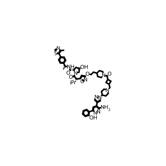 Cc1ncsc1-c1ccc([C@H](C)NC(=O)[C@@H]2C[C@@H](O)CN2C(=O)[C@H](c2cc(OCCC3CCN(C(=O)C4CC(CN5CCC(n6cc(-c7cc(-c8ccccc8O)nnc7N)cn6)CC5)C4)CC3)no2)C(C)C)cc1